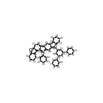 c1ccc(-c2cc(-c3ccccc3)cc(-n3c4ccccc4c4cc5c6ccc7oc8ccccc8c7c6n(-c6ccccc6)c5cc43)c2)cc1